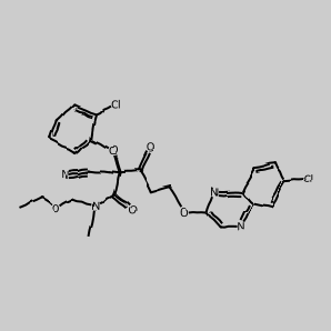 CCOCN(C)C(=O)C(C#N)(Oc1ccccc1Cl)C(=O)CCOc1cnc2cc(Cl)ccc2n1